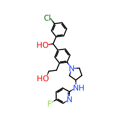 OCCc1cc(C(O)c2cccc(Cl)c2)ccc1N1CCC(Nc2ccc(F)cn2)C1